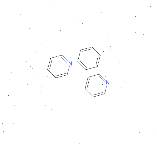 c1ccccc1.c1ccncc1.c1ccncc1